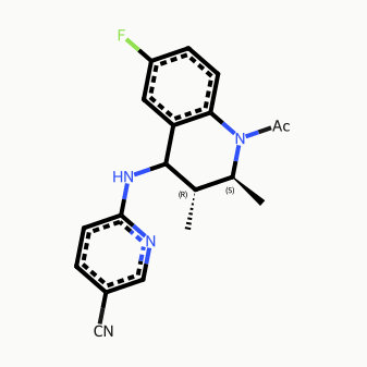 CC(=O)N1c2ccc(F)cc2C(Nc2ccc(C#N)cn2)[C@@H](C)[C@@H]1C